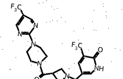 O=C(C1CN(Cc2c[nH]c(=O)c(C(F)(F)F)c2)C1)N1CCN(c2ncc(C(F)(F)F)cn2)CC1